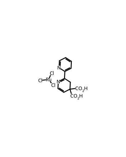 O=C(O)C1(C(=O)O)C=CN=C(c2ccccn2)C1.[Cl][Ru]([Cl])[Cl]